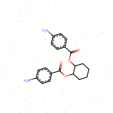 Nc1ccc(C(=O)OC2CCCCC2OC(=O)c2ccc(N)cc2)cc1